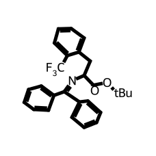 CC(C)(C)OC(=O)C(Cc1ccccc1C(F)(F)F)N=C(c1ccccc1)c1ccccc1